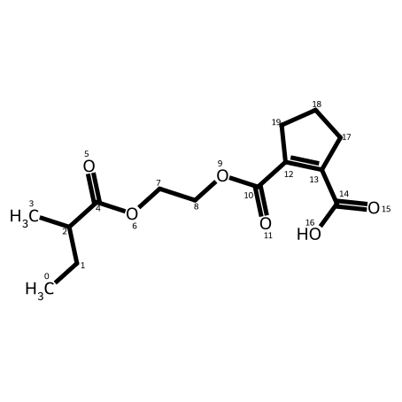 CCC(C)C(=O)OCCOC(=O)C1=C(C(=O)O)CCC1